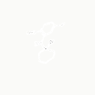 COc1ccc(F)cc1C(=O)C1(Br)CCCCC1